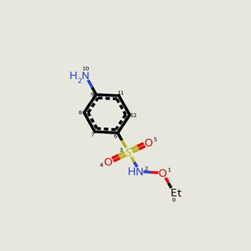 CCONS(=O)(=O)c1ccc(N)cc1